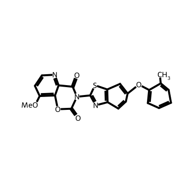 COc1ccnc2c(=O)n(-c3nc4ccc(Oc5ccccc5C)cc4s3)c(=O)oc12